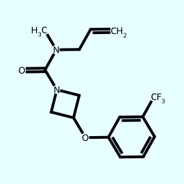 C=CCN(C)C(=O)N1CC(Oc2cccc(C(F)(F)F)c2)C1